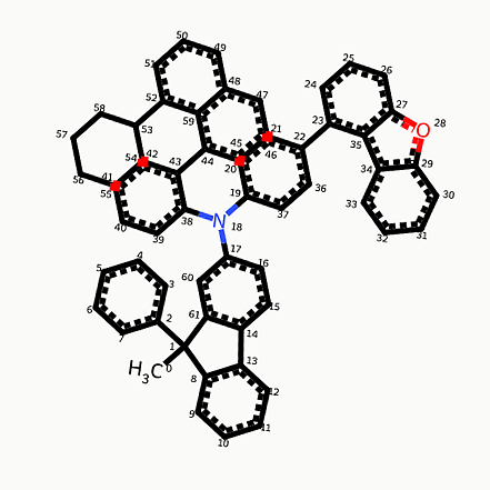 CC1(c2ccccc2)c2ccccc2-c2ccc(N(c3ccc(-c4cccc5oc6ccccc6c45)cc3)c3ccccc3-c3cccc4cccc(C5CCCCC5)c34)cc21